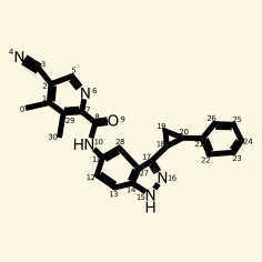 Cc1c(C#N)cnc(C(=O)Nc2ccc3[nH]nc(C4CC4c4ccccc4)c3c2)c1C